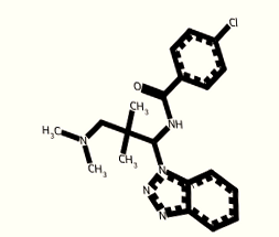 CN(C)CC(C)(C)C(NC(=O)c1ccc(Cl)cc1)n1nnc2ccccc21